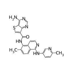 Cc1ccc(Nc2nccc3c(NC(=O)c4csc5c(N)ncnc45)c(C)ccc23)cn1